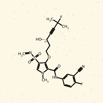 C=NS(=O)(=O)c1cn(C)c(C(=O)Nc2ccc(F)c(C#N)c2)c1OCC[C@H](O)C#CC(C)(C)F